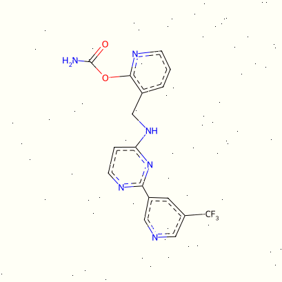 NC(=O)Oc1ncccc1CNc1ccnc(-c2cncc(C(F)(F)F)c2)n1